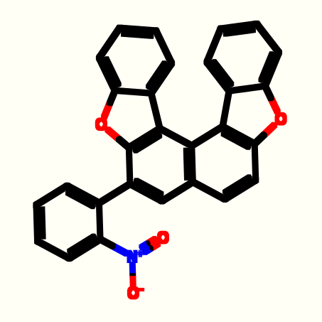 O=[N+]([O-])c1ccccc1-c1cc2ccc3oc4ccccc4c3c2c2c1oc1ccccc12